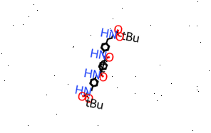 CC(C)(C)OC(=O)NCCc1ccc(NC(=O)C23CCC(C(=O)Nc4ccc(CNC(=O)OC(C)(C)C)cc4)(CC2)CC3)cc1